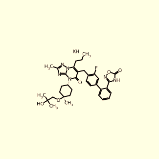 CCCc1c(Cc2ccc(-c3ccccc3-c3noc(=O)[nH]3)cc2F)c(=O)n([C@H]2CC[C@](C)(OCC(C)(C)O)CC2)c2nc(C)nn12.[KH]